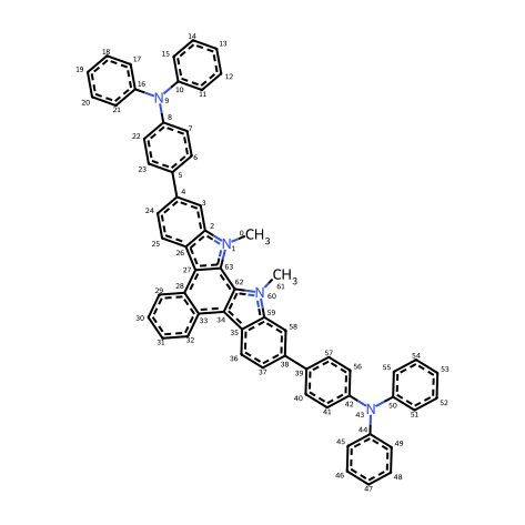 Cn1c2cc(-c3ccc(N(c4ccccc4)c4ccccc4)cc3)ccc2c2c3ccccc3c3c4ccc(-c5ccc(N(c6ccccc6)c6ccccc6)cc5)cc4n(C)c3c21